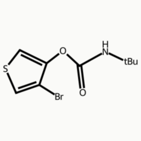 CC(C)(C)NC(=O)Oc1cscc1Br